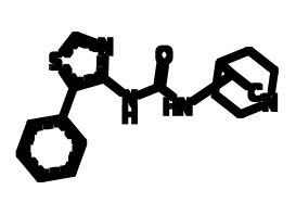 O=C(Nc1ncsc1-c1ccccc1)NC1CN2CCC1CC2